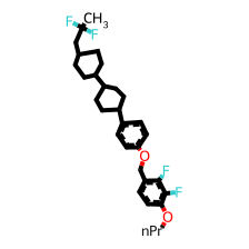 CCCOc1ccc(COc2ccc(C3CCC(C4CCC(CC(C)(F)F)CC4)CC3)cc2)c(F)c1F